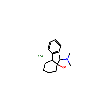 CC(N(C)C)C1(O)CCCCC1c1ccccc1.Cl